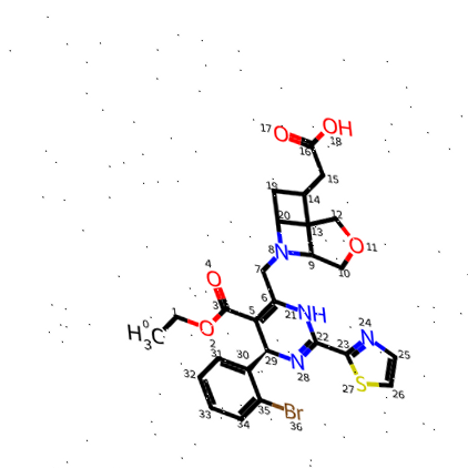 CCOC(=O)C1=C(CN2C3COCC34C(CC(=O)O)CC24)NC(c2nccs2)=N[C@H]1c1ccccc1Br